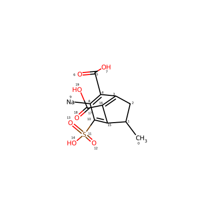 CC1Cc2c(C(=O)O)[c]([Na])c(S(=O)(=O)O)c1c2C(=O)O